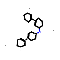 C1=C(C2=CC(NC3CC=C(C4=CCCCC4)CC3)CCC2)CCCC1